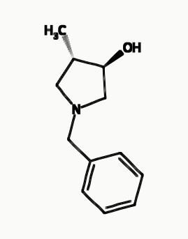 C[C@H]1CN(Cc2ccccc2)C[C@@H]1O